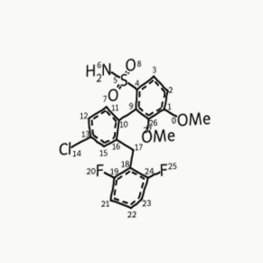 COc1ccc(S(N)(=O)=O)c(-c2ccc(Cl)cc2Cc2c(F)cccc2F)c1OC